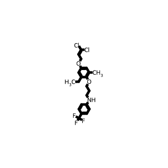 CCc1cc(OCC=C(Cl)Cl)cc(C)c1OCCCNc1ccc(C(F)(F)F)cc1